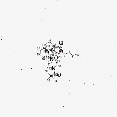 CCCCOC(=O)[N+]12CCC(CC1)c1cccc([N+]3(c4ccc(Cl)cc4F)CCN(C(=O)C(C)(C)C)CC3)c12